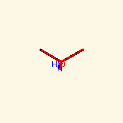 CC#CC#CC#CC#CC#CC#CC#CC#CC(C#CC#CC#CC#CC#CC#CC#CC#CC)C(=O)Nc1ccncc1